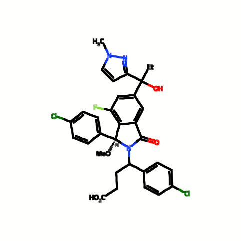 CCC(O)(c1cc(F)c2c(c1)C(=O)N(C(CCC(=O)O)c1ccc(Cl)cc1)[C@@]2(OC)c1ccc(Cl)cc1)c1ccn(C)n1